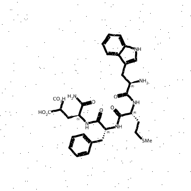 CSCC[C@@H](NC(=O)[C@H](N)Cc1c[nH]c2ccccc12)C(=O)N[C@H](Cc1ccccc1)C(=O)N[C@@H](CC(C(=O)O)C(=O)O)C(N)=O